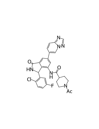 CC(=O)N1CCC(C(=O)Nc2cc(-c3ccc4ncnn4c3)cc3c2C(c2cc(F)ccc2Cl)NC3=O)CC1